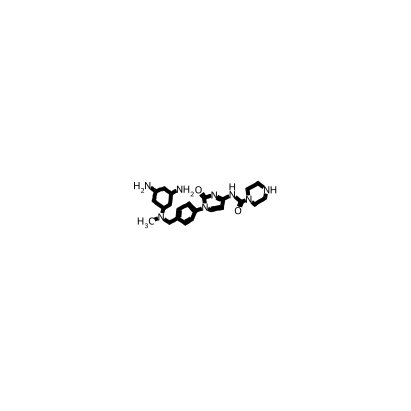 CN(Cc1ccc(-n2ccc(NC(=O)N3CCNCC3)nc2=O)cc1)C1CC(N)CC(N)C1